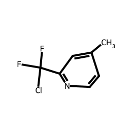 Cc1ccnc(C(F)(F)Cl)c1